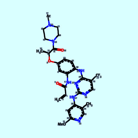 C=CC(=O)Nc1cc(O[C@@H](C)C(=O)N2CCN(C(C)=O)CC2)ccc1Nc1nc(Nc2cc(OC)ncc2C)ncc1C(F)(F)F